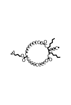 C=C=C=C=C1C(CCCCC)CC(=O)OCCCCCCCCC(C(=O)OCCCN(C)C)CCCCCCCCOC(=O)CC1CCCCC